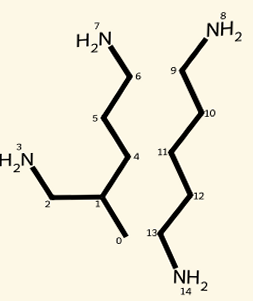 CC(CN)CCCN.NCCCCCN